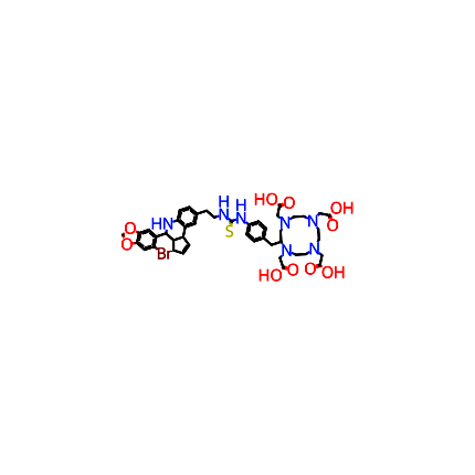 O=C(O)CN1CCN(CC(=O)O)CCN(CC(=O)O)C(Cc2ccc(NC(=S)NCCc3ccc4c(c3)C3C=CCC3C(c3cc5c(cc3Br)OCO5)N4)cc2)CN(CC(=O)O)CC1